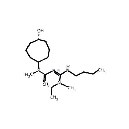 C=C(/N=C(/NCCCC)N(C)CC)N(C)[C@H]1CCC[C@H](O)CCC1